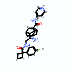 NC(CNC(=O)C1(c2ccc(F)cc2)CCC1)C1C2CC3CC1C(C(=O)Nc1ccncc1)(C3)C2